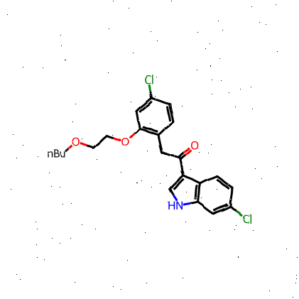 CCCCOCCOc1cc(Cl)ccc1CC(=O)c1c[nH]c2cc(Cl)ccc12